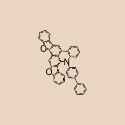 c1ccc(-c2ccc(N(c3ccccc3-c3ccc4oc5ccccc5c4c3)c3cccc4oc5ccccc5c34)cc2)cc1